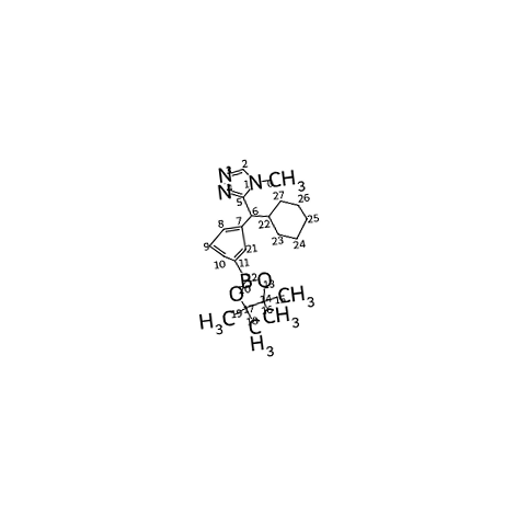 Cn1cnnc1C(c1cccc(B2OC(C)(C)C(C)(C)O2)c1)C1CCCCC1